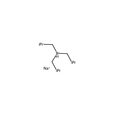 CC(C)C[BH-](CC(C)C)CC(C)C.[Na+]